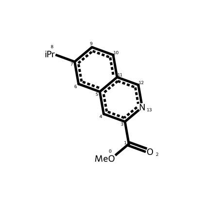 COC(=O)c1cc2cc(C(C)C)ccc2cn1